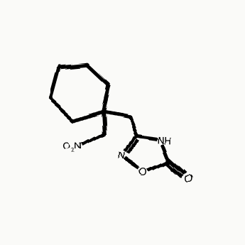 O=c1[nH]c(CC2(C[N+](=O)[O-])CCCCC2)no1